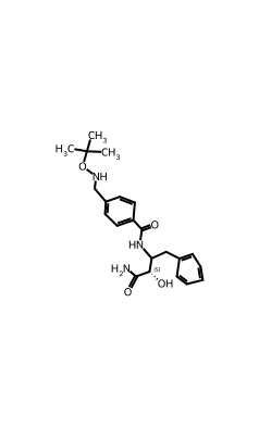 CC(C)(C)ONCc1ccc(C(=O)NC(Cc2ccccc2)[C@H](O)C(N)=O)cc1